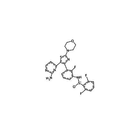 Nc1nccc(-c2sc(N3CCOCC3)nc2-c2cccc(N[S+]([O-])c3c(F)cccc3F)c2F)n1